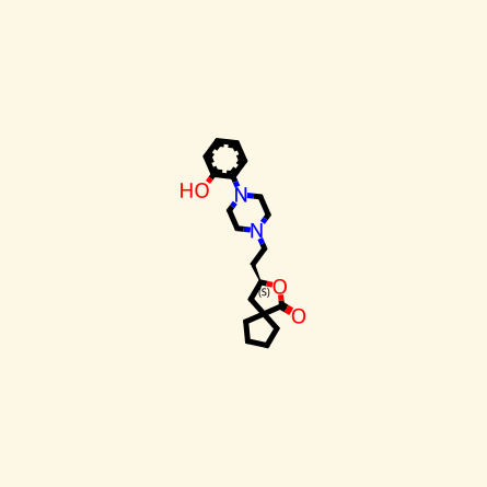 O=C1O[C@H](CCN2CCN(c3ccccc3O)CC2)CC12CCCC2